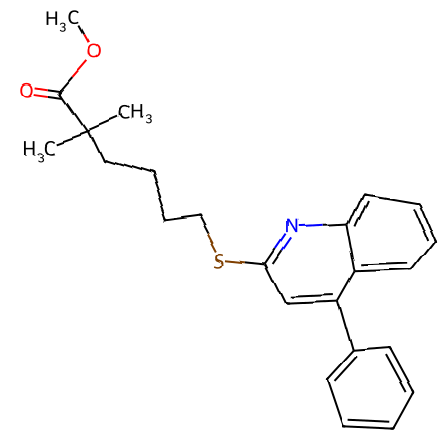 COC(=O)C(C)(C)CCCCSc1cc(-c2ccccc2)c2ccccc2n1